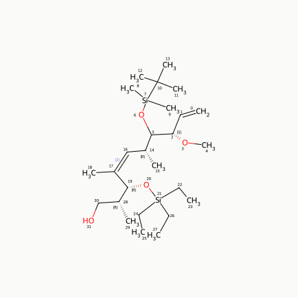 C=C[C@H](OC)C(O[Si](C)(C)C(C)(C)C)[C@H](C)/C=C(/C)[C@H](O[Si](CC)(CC)CC)[C@H](C)CO